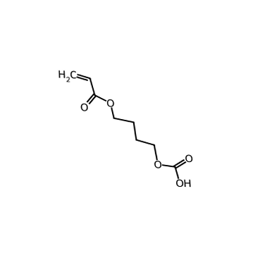 C=CC(=O)OCCCCOC(=O)O